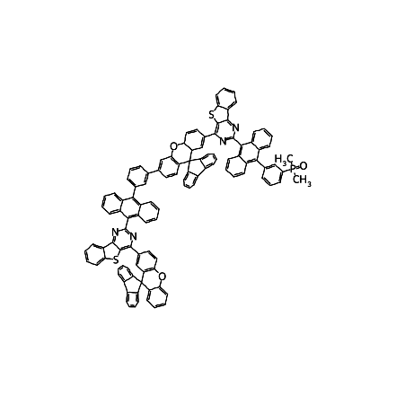 CP(C)(=O)c1cccc(-c2c3ccccc3c(-c3nc(C4=CC5C(C=C4)Oc4cc(-c6cccc(-c7c8ccccc8c(-c8nc(-c9ccc%10c(c9)C9(c%11ccccc%11O%10)c%10ccccc%10-c%10ccccc%109)c9sc%10ccccc%10c9n8)c8ccccc78)c6)ccc4C54c5ccccc5-c5ccccc54)c4sc5ccccc5c4n3)c3ccccc23)c1